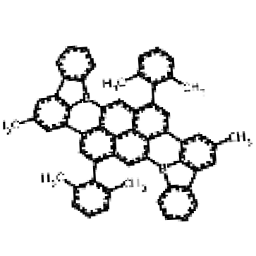 Cc1cc2c3c(c1)-c1cc(-c4c(C)cccc4C)c4cc5c6c(cc(-c7c(C)cccc7C)c7cc(c1c4c76)B3c1ccccc1-2)-c1cc(C)cc2c1B5c1ccccc1-2